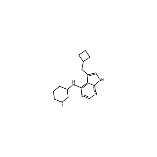 c1nc(NC2CCCNC2)c2c(CC3CCC3)c[nH]c2n1